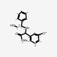 COC(=O)C(N[C@H](CO)c1ccccc1)c1cncc(Cl)c1